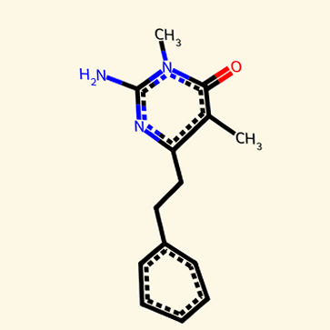 Cc1c(CCc2ccccc2)nc(N)n(C)c1=O